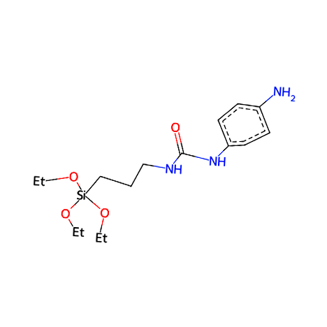 CCO[Si](CCCNC(=O)Nc1ccc(N)cc1)(OCC)OCC